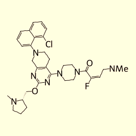 CNC/C=C(/F)C(=O)N1CCN(c2nc(OC[C@@H]3CCCN3C)nc3c2CCN(c2cccc4cccc(Cl)c24)C3)CC1